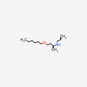 C=CCNC(=C)CCOCCCCCC